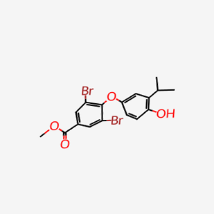 COC(=O)c1cc(Br)c(Oc2ccc(O)c(C(C)C)c2)c(Br)c1